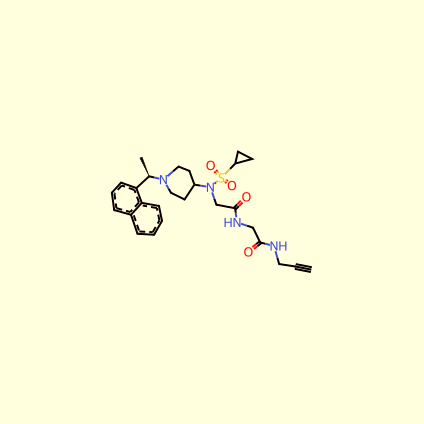 C#CCNC(=O)CNC(=O)CN(C1CCN([C@H](C)c2cccc3ccccc23)CC1)S(=O)(=O)C1CC1